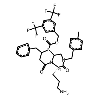 Cc1ccc(CN2CC3N(C(=O)OCc4cc(C(F)(F)F)cc(C(F)(F)F)c4)C(Cc4ccccc4)CC(=O)N3[C@@H](CCCN)C2=O)cc1